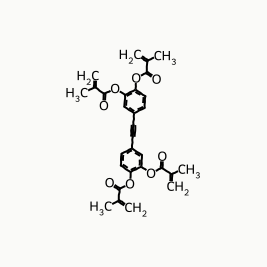 C=C(C)C(=O)Oc1ccc(C#Cc2ccc(OC(=O)C(=C)C)c(OC(=O)C(=C)C)c2)cc1OC(=O)C(=C)C